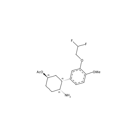 COc1ccc([C@H]2C[C@H](OC(C)=O)CC[C@H]2N)cc1OCC(F)F